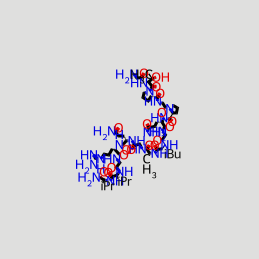 CC[C@H](C)[C@H](NC(=O)CNC(=O)[C@H](CCC(N)=O)NC(=O)[C@@H]1CCCN1C(=O)CNC(=O)[C@@H]1CCCN1C(=O)[C@@H](NC(=O)CN)[C@@H](C)O)C(=O)N[C@@H](C)C(=O)NCC(=O)N[C@@H](CCC(N)=O)C(=O)N[C@@H](CCCNC(=N)N)C(=O)NCC(=O)N[C@H](C(=O)N[C@H](C(N)=O)C(C)C)C(C)C